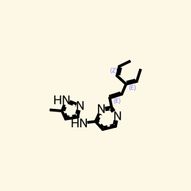 C\C=C/C(/C=C/c1nccc(Nc2cc(C)[nH]n2)n1)=C\C